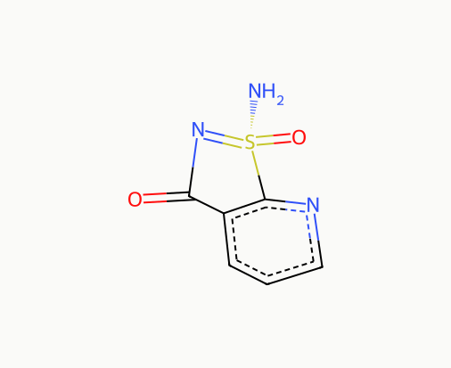 N[S@@]1(=O)=NC(=O)c2cccnc21